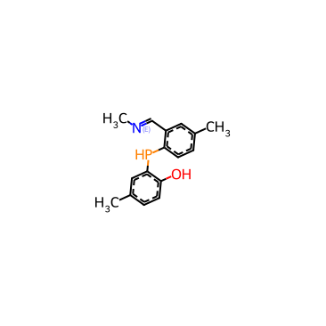 C/N=C/c1cc(C)ccc1Pc1cc(C)ccc1O